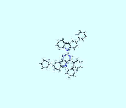 c1ccc(-c2ccc3c(c2)c2ccccc2n3-c2nc(-c3ccccc3)c3c(n2)c2cc(-c4ccccc4)ccc2n3-c2ccccc2)cc1